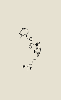 Cc1ccccc1COC(=O)Nc1ccn(CCCCC(C)(F)F)n1